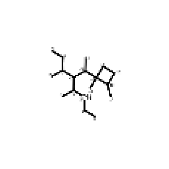 CCPC(C)C(C(C)CC)C(C)C1(C)CCC1C